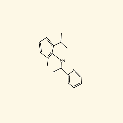 Cc1cccc(C(C)C)c1NC(C)c1ccccn1